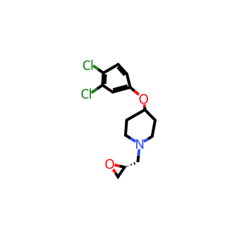 Clc1ccc(OC2CCN(C[C@@H]3CO3)CC2)cc1Cl